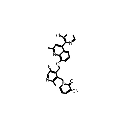 C/C=N\C(=C(/C)Cl)c1cc(C)nc2c(OCc3c(F)cnc(C)c3Cn3cccc(C#N)c3=O)cccc12